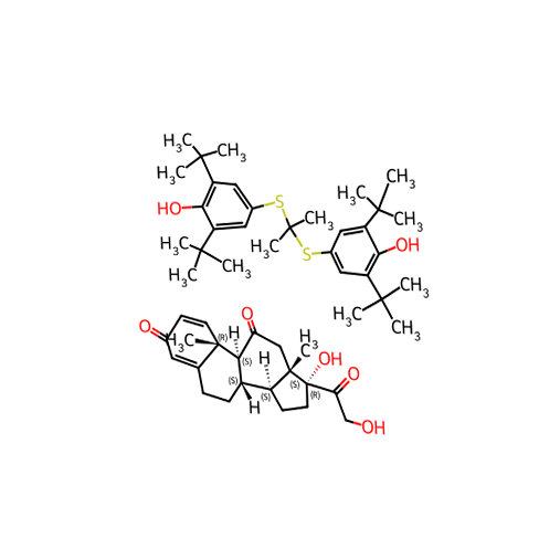 CC(C)(Sc1cc(C(C)(C)C)c(O)c(C(C)(C)C)c1)Sc1cc(C(C)(C)C)c(O)c(C(C)(C)C)c1.C[C@]12C=CC(=O)C=C1CC[C@@H]1[C@@H]2C(=O)C[C@@]2(C)[C@H]1CC[C@]2(O)C(=O)CO